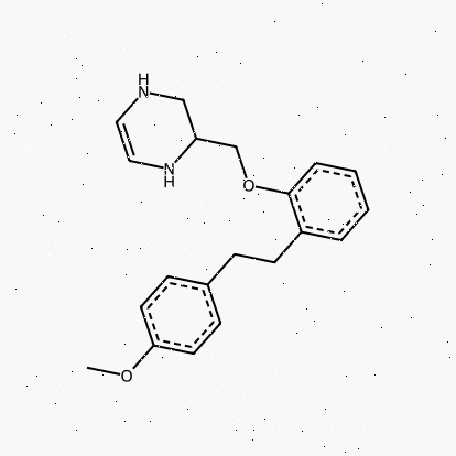 COc1ccc(CCc2ccccc2OCC2CNC=CN2)cc1